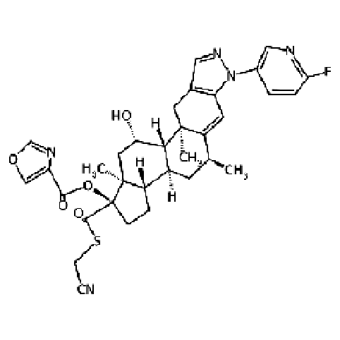 C[C@H]1C[C@@H]2[C@H]([C@@H](O)C[C@@]3(C)[C@H]2CC[C@]3(OC(=O)c2cocn2)C(=O)SCC#N)[C@@]2(C)Cc3cnn(-c4ccc(F)nc4)c3C=C12